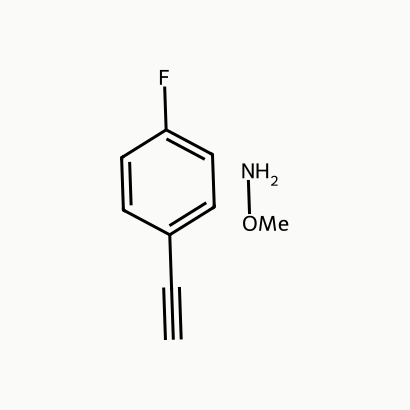 C#Cc1ccc(F)cc1.CON